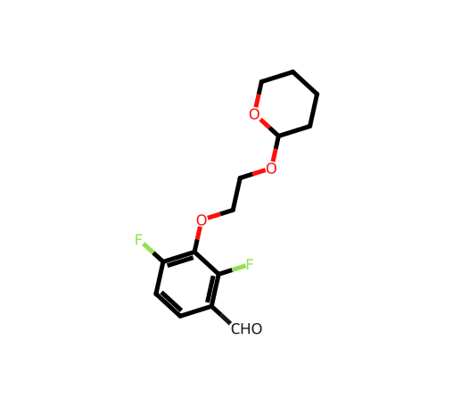 O=Cc1ccc(F)c(OCCOC2CCCCO2)c1F